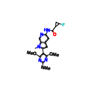 CNc1nc(OC)c(-c2cc3cc(NC(=O)C4CC4F)ncc3n2C)c(OC)n1